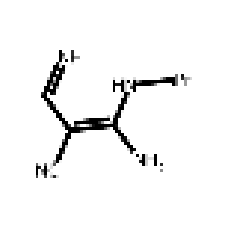 CC(C)N/C(N)=C(/C#N)C=N